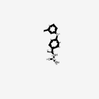 Cc1cccc(Oc2ccc([C@H](C)N[S+]([O-])C(C)(C)C)cc2)c1